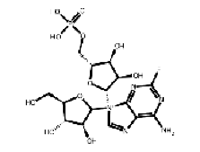 Nc1nc(F)nc2c1N=C[N+]2(C1O[C@H](CO)[C@@H](O)[C@@H]1O)[C@@H]1O[C@H](COP(=O)(O)O)[C@@H](O)[C@H]1O